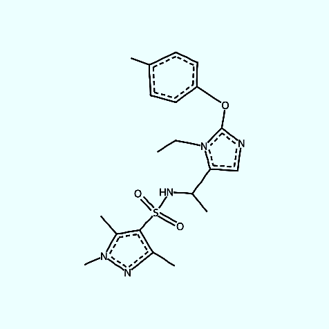 CCn1c(C(C)NS(=O)(=O)c2c(C)nn(C)c2C)cnc1Oc1ccc(C)cc1